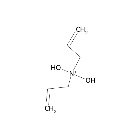 C=CC[N+](O)(O)CC=C